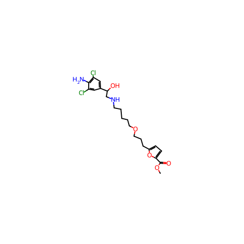 COC(=O)c1ccc(CCCOCCCCCNCC(O)c2cc(Cl)c(N)c(Cl)c2)o1